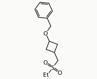 CCS(=O)(=O)CC1CC(OCc2ccccc2)C1